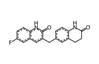 O=C1CCc2cc(Cc3cc4cc(F)ccc4[nH]c3=O)ccc2N1